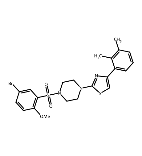 COc1ccc(Br)cc1S(=O)(=O)N1CCN(c2nc(-c3cccc(C)c3C)cs2)CC1